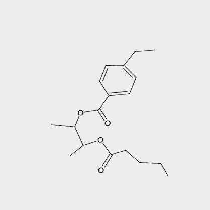 CCCCC(=O)OC(C)C(C)OC(=O)c1ccc(CC)cc1